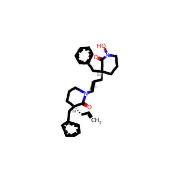 C=CC[C@]1(Cc2ccccc2)CCCN(/C=C/C[C@]2(Cc3ccccc3)CCCN(O)C2=O)C1=O